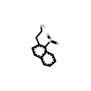 CCCc1ccc2ccccc2c1[SH](=O)=O